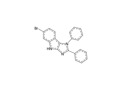 Brc1ccc2c(c1)[nH]c1nc(-c3ccccc3)n(-c3ccccc3)c12